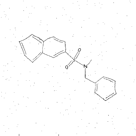 CN(Cc1ccccc1)S(=O)(=O)c1ccc2ccccc2c1